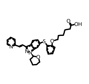 O=C(O)CCCCCOc1ccccc1Sc1ccc2c(C=Cc3ccccn3)nn(C3CCCCO3)c2c1